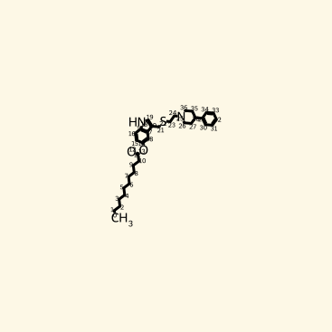 CCCCCCCCCCCC(=O)Oc1ccc2[nH]cc(CSCCN3CCC(c4ccccc4)CC3)c2c1